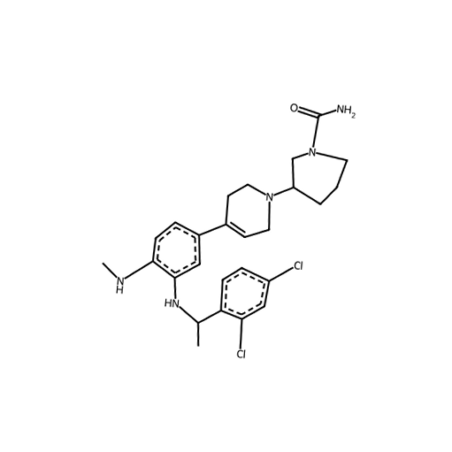 CNc1ccc(C2=CCN(C3CCCN(C(N)=O)C3)CC2)cc1NC(C)c1ccc(Cl)cc1Cl